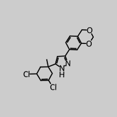 CC1(c2cc(-c3ccc4c(c3)OCOC4)n[nH]2)CC(Cl)=CC(Cl)C1